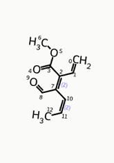 C=C/C(C(=O)OC)=C(C=O)\C=C/C